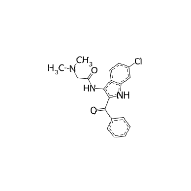 CN(C)CC(=O)Nc1c(C(=O)c2ccccc2)[nH]c2cc(Cl)ccc12